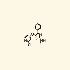 CNc1nc(-c2ccccc2)c(Oc2ccnc(Cl)c2)s1